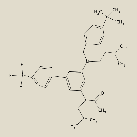 CC(=O)C(CC(C)C)c1cc(-c2ccc(C(F)(F)F)cc2)cc(N(CCC(C)C)Cc2ccc(C(C)(C)C)cc2)c1